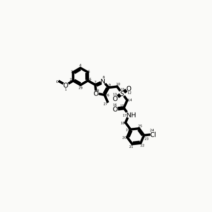 COc1cccc(-c2nc(CS(=O)(=O)CC(=O)NCc3cccc(Cl)c3)c(C)o2)c1